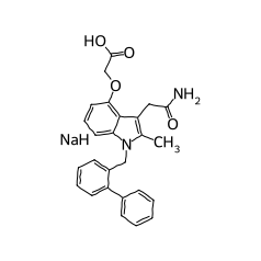 Cc1c(CC(N)=O)c2c(OCC(=O)O)cccc2n1Cc1ccccc1-c1ccccc1.[NaH]